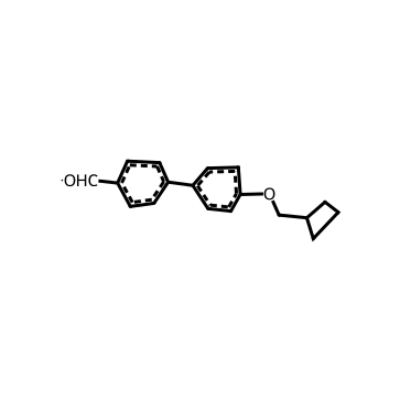 O=[C]c1ccc(-c2ccc(OCC3CCC3)cc2)cc1